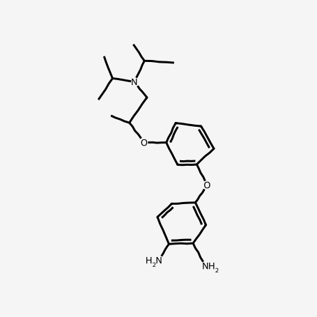 CC(CN(C(C)C)C(C)C)Oc1cccc(Oc2ccc(N)c(N)c2)c1